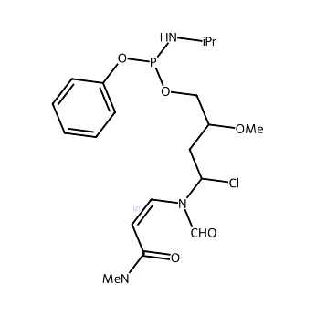 CNC(=O)/C=C\N(C=O)C(Cl)CC(COP(NC(C)C)Oc1ccccc1)OC